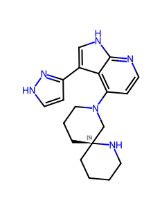 c1cc(N2CCC[C@@]3(CCCCN3)C2)c2c(-c3cc[nH]n3)c[nH]c2n1